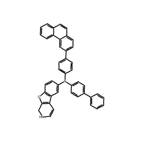 C1=Cc2c(oc3ccc(N(c4ccc(-c5ccccc5)cc4)c4ccc(-c5ccc6ccc7ccccc7c6c5)cc4)cc23)CN1